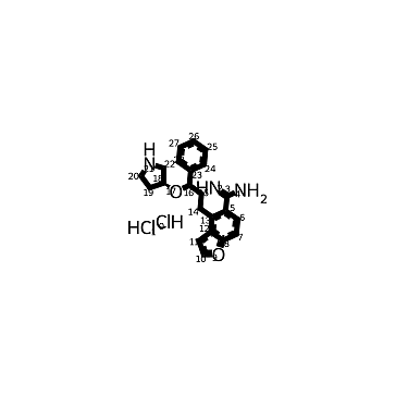 Cl.Cl.N=C(N)c1ccc2occc2c1CCC(O[C@H]1CCNC1)c1ccccc1